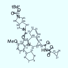 COc1ccc(C2CCCCC2)c2c1cc1n2CC2=C(C(=O)NS(=O)(=O)C3CC3)C2=C2C=CC[C@@H](C(=O)N3CC4CN(C(=O)OC(C)(C)C)CC4C3)C21